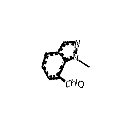 Cn1ncc2cccc(C=O)c21